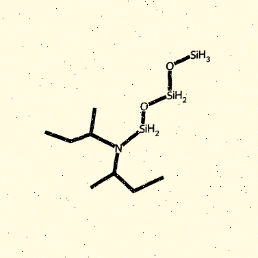 CCC(C)N([SiH2]O[SiH2]O[SiH3])C(C)CC